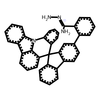 N/N=C(\N)c1ccccc1-c1ccc2c(c1)C1(c3ccccc3-2)c2ccccc2-n2c3ccccc3c3cccc1c32